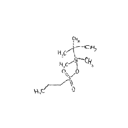 CCCS(=O)(=O)O[Si](C)(C)C(C)(C)C